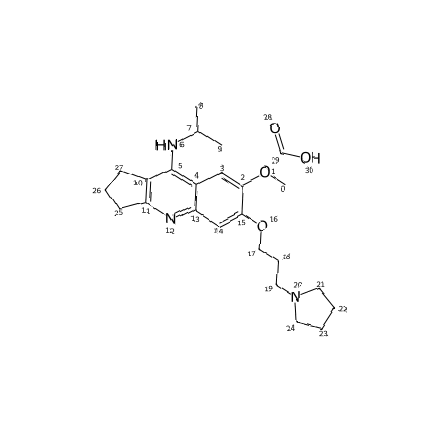 COc1cc2c(NC(C)C)c3c(nc2cc1OCCCN1CCCC1)CCC3.O=CO